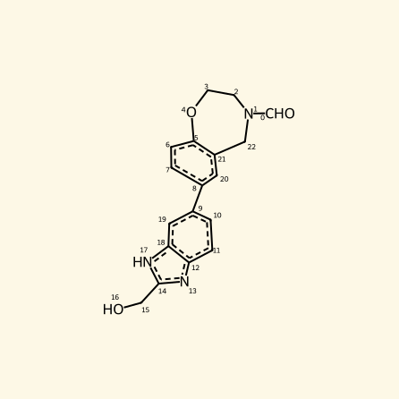 O=CN1CCOc2ccc(-c3ccc4nc(CO)[nH]c4c3)cc2C1